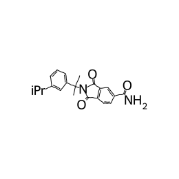 CC(C)c1cccc(C(C)(C)N2C(=O)c3ccc(C(N)=O)cc3C2=O)c1